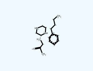 C1CNCCN1.CCC(C)=O.CCCCc1ccccc1